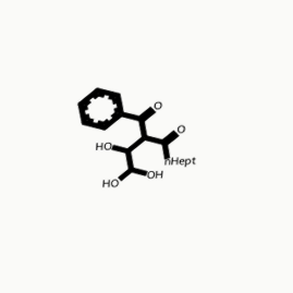 CCCCCCCC(=O)C(C(=O)c1ccccc1)C(O)C(O)O